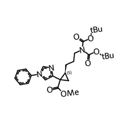 COC(=O)C1(c2cn(-c3ccccc3)cn2)C[C@@H]1CCCN(C(=O)OC(C)(C)C)C(=O)OC(C)(C)C